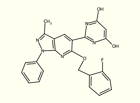 Cc1nn(-c2ccccc2)c2nc(OCc3ccccc3F)c(-c3nc(O)cc(O)n3)cc12